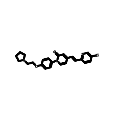 O=c1cc(C=Cc2ccc(Cl)cn2)ccn1-c1ccc(OCCN2CCCC2)cc1